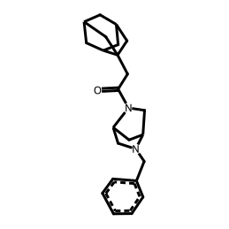 O=C(CC12CC3CC(CC1C3)C2)N1CC2CC1CN2Cc1ccccc1